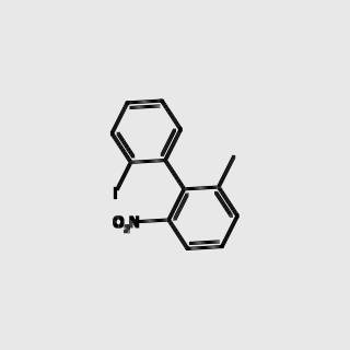 Cc1cccc([N+](=O)[O-])c1-c1ccccc1I